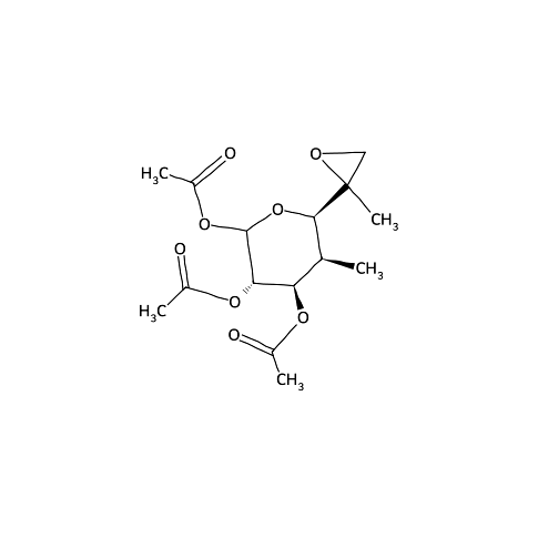 CC(=O)OC1O[C@@H](C2(C)CO2)[C@@H](C)[C@@H](OC(C)=O)[C@@H]1OC(C)=O